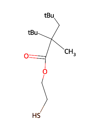 CC(C)(C)CC(C)(C(=O)OCCS)C(C)(C)C